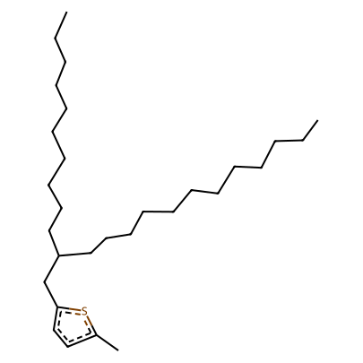 CCCCCCCCCCCCC(CCCCCCCCCC)Cc1ccc(C)s1